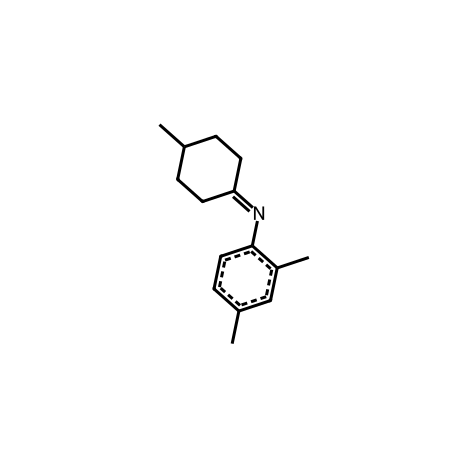 Cc1ccc(N=C2CCC(C)CC2)c(C)c1